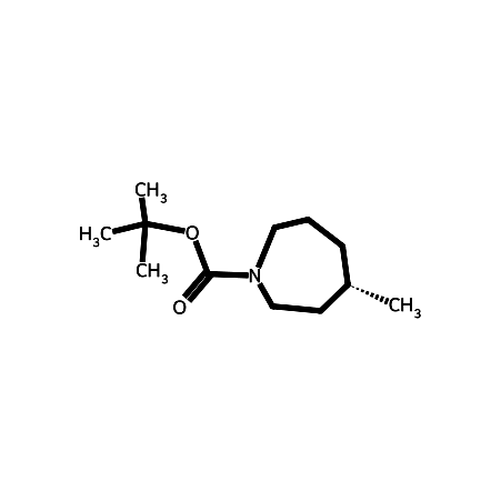 C[C@H]1CCCN(C(=O)OC(C)(C)C)CC1